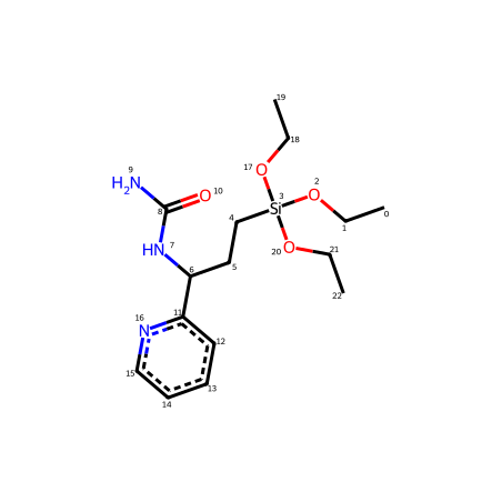 CCO[Si](CCC(NC(N)=O)c1ccccn1)(OCC)OCC